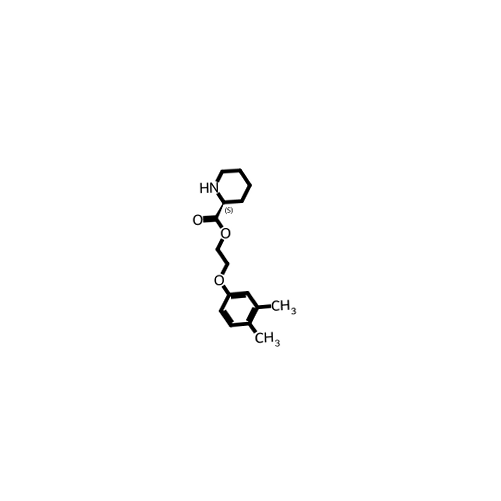 Cc1ccc(OCCOC(=O)[C@@H]2CCCCN2)cc1C